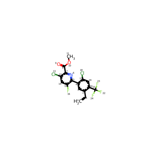 C=Cc1cc(-c2nc(C(=O)OC)c(Cl)cc2F)c(Cl)cc1C(F)(F)F